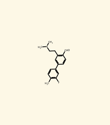 Cc1ccc(-c2ccc(C=O)c(CCN(C)C)c2)cc1F